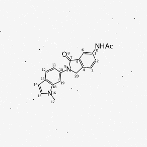 CC(=O)Nc1ccc2c(c1)C(=O)N(c1ccc3ccn(C)c3c1)C2